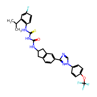 CC(C)c1cc(F)ccc1NC(=S)NC(=O)NC1Cc2ccc(-c3ncn(-c4ccc(OC(F)(F)F)cc4)n3)cc2C1